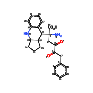 NC(CC(=O)C(=O)Cc1ccccc1)(C(=O)O)C1c2ccccc2NC2CCCC21